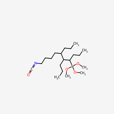 CCCC(CCCCN=C=O)C(CCC)C(CCC)[Si](OC)(OC)OC